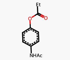 CCC(=O)Oc1ccc(NC(C)=O)cc1